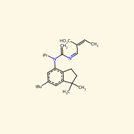 C=C(/N=C\C(=C/C)C(=O)O)N(c1cc(C(C)(C)C)cc2c1CCC2(C)C)C(C)C